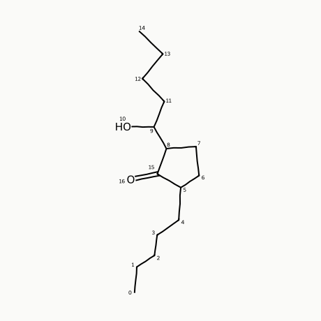 CCCCCC1CCC(C(O)CCCC)C1=O